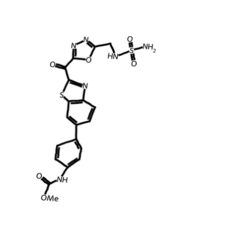 COC(=O)Nc1ccc(-c2ccc3nc(C(=O)c4nnc(CNS(N)(=O)=O)o4)sc3c2)cc1